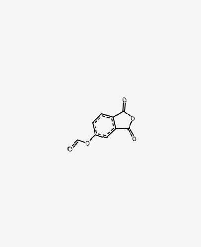 O=COc1ccc2c(c1)C(=O)OC2=O